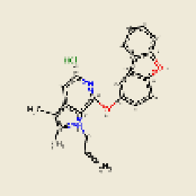 C=CCn1c(C)c(C)c2ccnc(Oc3ccc4oc5ccccc5c4c3)c21.Cl